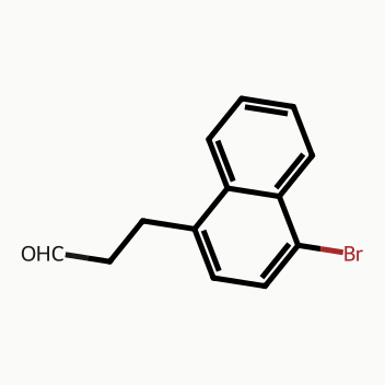 O=CCCc1ccc(Br)c2ccccc12